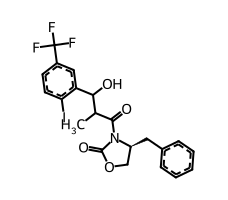 CC(C(=O)N1C(=O)OC[C@@H]1Cc1ccccc1)C(O)c1cc(C(F)(F)F)ccc1I